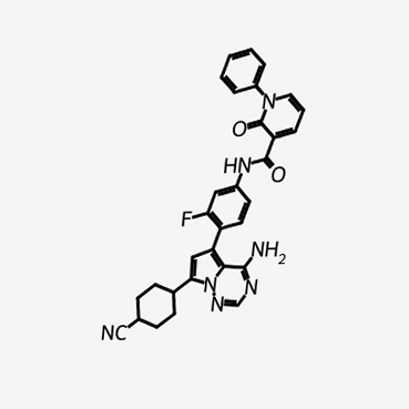 N#CC1CCC(c2cc(-c3ccc(NC(=O)c4cccn(-c5ccccc5)c4=O)cc3F)c3c(N)ncnn23)CC1